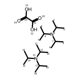 CC(C)N(C(C)C)C(C)C.CC(C)N(C(C)C)C(C)C.O=C(O)C(=O)O